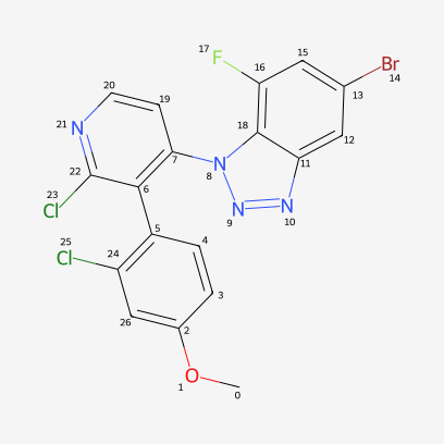 COc1ccc(-c2c(-n3nnc4cc(Br)cc(F)c43)ccnc2Cl)c(Cl)c1